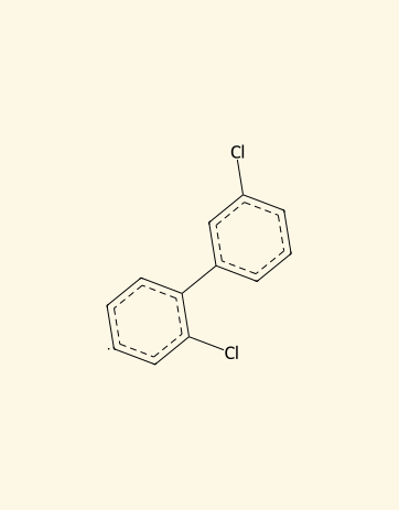 Clc1cccc(-c2cc[c]cc2Cl)c1